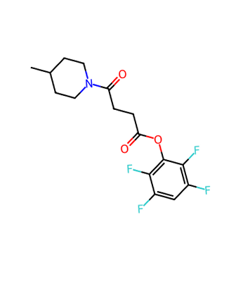 CC1CCN(C(=O)CCC(=O)Oc2c(F)c(F)cc(F)c2F)CC1